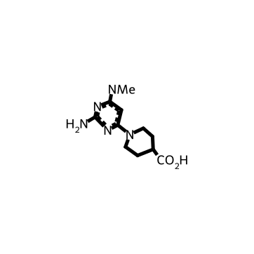 CNc1cc(N2CCC(C(=O)O)CC2)nc(N)n1